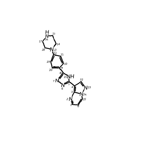 c1cnc2c(-c3nnc(-c4ccc(N5CCNCC5)cc4)[nH]3)cnn2c1